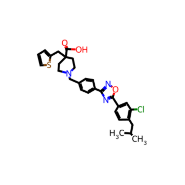 CC(C)Cc1ccc(-c2nc(-c3ccc(CN4CCC(Cc5cccs5)(C(=O)O)CC4)cc3)no2)cc1Cl